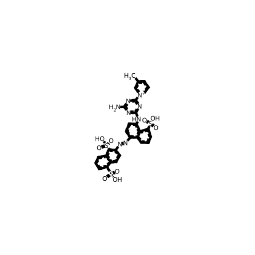 Cc1ccc[n+](-c2nc(N)nc(Nc3ccc(N=Nc4ccc5c(S(=O)(=O)O)cccc5c4S(=O)(=O)O)c4cccc(S(=O)(=O)O)c34)n2)c1